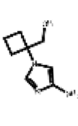 Nc1cn(C2(CO)CCC2)cn1